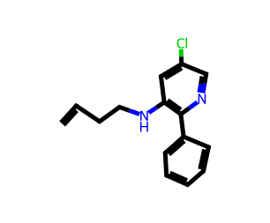 C=CCCNc1cc(Cl)cnc1-c1ccccc1